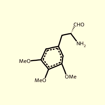 COc1cc(C[C@@H](N)C=O)cc(OC)c1OC